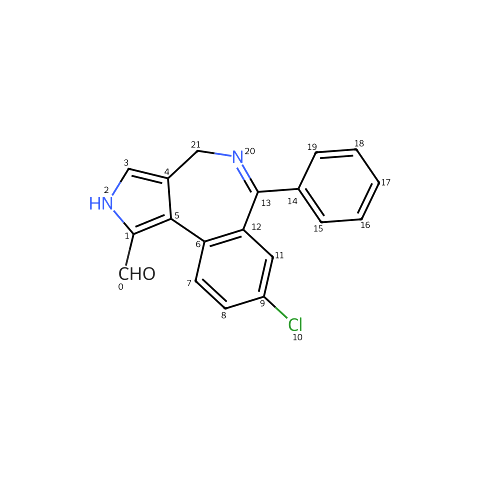 O=Cc1[nH]cc2c1-c1ccc(Cl)cc1C(c1ccccc1)=NC2